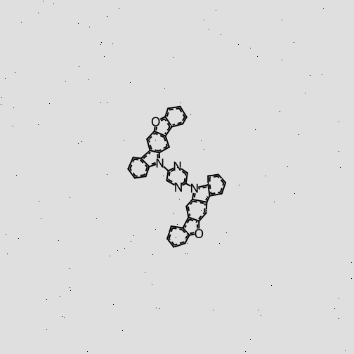 c1ccc2c(c1)oc1cc3c4ccccc4n(-c4cnc(-n5c6ccccc6c6cc7oc8ccccc8c7cc65)cn4)c3cc12